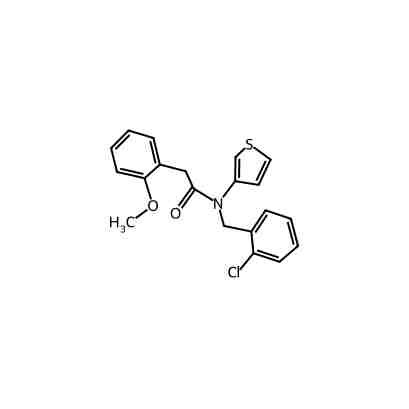 COc1ccccc1CC(=O)N(Cc1ccccc1Cl)c1ccsc1